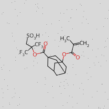 C=C(C)C(=O)OC12CC3CC(C1)CC(C(=O)OC(CS(=O)(=O)O)(C(F)(F)F)C(F)(F)F)(C3)C2